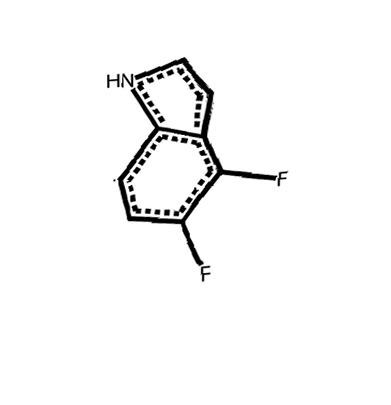 Fc1c[c]c2[nH]ccc2c1F